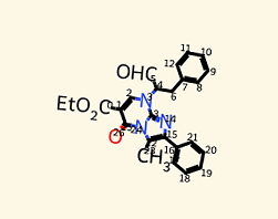 CCOC(=O)c1cn(C(C=O)Cc2ccccc2)c2nc(-c3ccccc3)c(C)n2c1=O